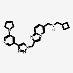 C1=CCN(c2cncc(-c3cn(Cc4cn5cc(CNCC6CCC6)ccc5n4)nn3)c2)C1